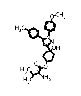 COc1ccc(-n2nc(C3(O)CCC(OC(=O)[C@@H](N)C(C)C)CC3)cc2-c2ccc(C)cc2)cc1